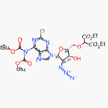 CCOC(=O)C(OC[C@H]1O[C@@H](n2cnc3c(N(C(=O)OC(C)(C)C)C(=O)OC(C)(C)C)nc(Cl)nc32)[C@H](N=[N+]=[N-])[C@@H]1O)C(=O)OCC